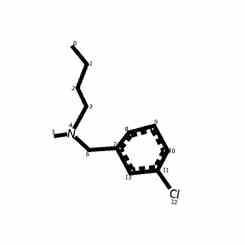 CCCCN(C)Cc1cccc(Cl)c1